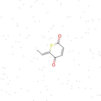 C/C=C1\SC(=O)C=CC1=O